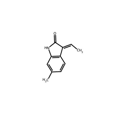 C/C=C1/C(=O)Nc2cc(C)ccc21